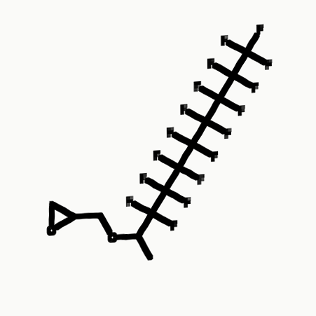 CC(OCC1CO1)C(F)(F)C(F)(F)C(F)(F)C(F)(F)C(F)(F)C(F)(F)C(F)(F)C(F)(F)F